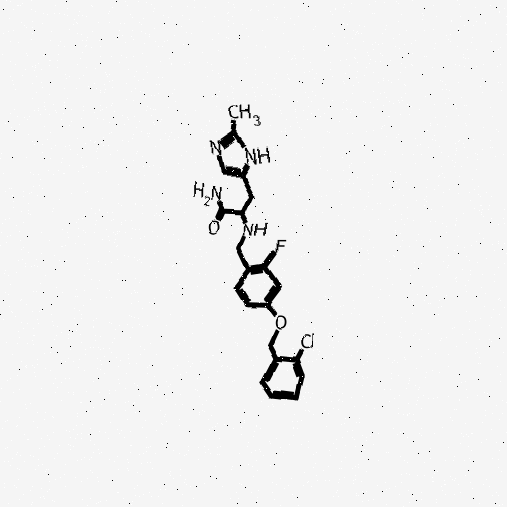 Cc1ncc(CC(NCc2ccc(OCc3ccccc3Cl)cc2F)C(N)=O)[nH]1